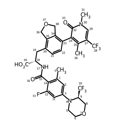 Cc1cc(N2CCOC[C@@H]2C(F)(F)F)cc(F)c1C(=O)N[C@@H](Cc1ccc(-c2c(C)c(C(F)(F)F)cn(C)c2=O)c2c1COC2)C(=O)O